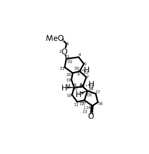 COCO[C@H]1CC[C@H]2C[C@@H]3[C@H](CC[C@]4(C)C(=O)CC[C@@H]34)CC2C1